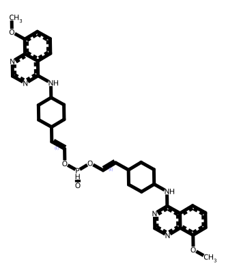 COc1cccc2c(NC3CCC(/C=C/O[PH](=O)O/C=C/C4CCC(Nc5ncnc6c(OC)cccc56)CC4)CC3)ncnc12